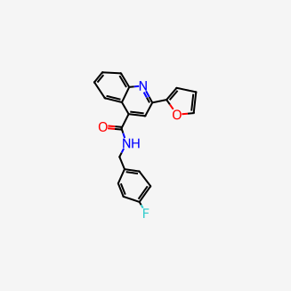 O=C(NCc1ccc(F)cc1)c1cc(-c2ccco2)nc2ccccc12